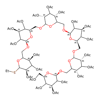 CCSC1OC(CO[C@@H]2O[C@H](COC3OC(CO[C@@H]4O[C@H](COC5OC(CO[C@@H]6O[C@H](COC(C)=O)C(OC(C)=O)[C@H](OC(C)=O)C6OC(C)=O)[C@@H](OC(C)=O)C(OC(C)=O)[C@H]5OC(C)=O)C(OC(C)=O)[C@H](OC(C)=O)C4OC(C)=O)[C@@H](OC(C)=O)C(OC(C)=O)[C@H]3OC(C)=O)C(OC(C)=O)[C@H](OC(C)=O)C2OC(C)=O)[C@@H](OC(C)=O)C(OC(C)=O)[C@H]1OC(C)=O